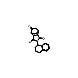 O=C1CC2CCC1C1C(=O)N(C3CCCc4ccccc43)C(=O)C21